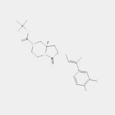 C/C(=C\C[C@H]1C[C@H]2CN(C(=O)OC(C)(C)C)CCN2C1=O)c1ccc(F)c(F)c1